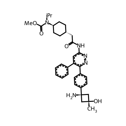 COC(=O)N(C(C)C)[C@H]1CC[C@H](CC(=O)Nc2cc(-c3ccccc3)c(-c3ccc([C@]4(N)C[C@](C)(O)C4)cc3)nn2)CC1